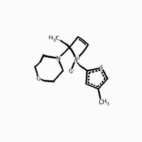 Cc1csc([N+]2([O-])C=CC2(C)N2CCOCC2)c1